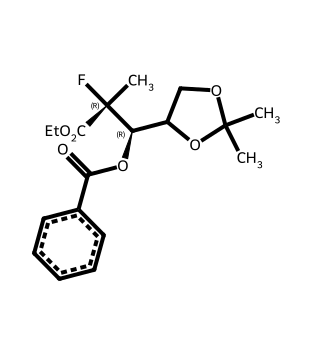 CCOC(=O)[C@](C)(F)[C@H](OC(=O)c1ccccc1)C1COC(C)(C)O1